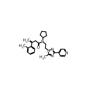 C=C(CC(=O)N(CCn1nc(-c2ccncc2)nc1C)C1CCCC1)c1ccccc1C